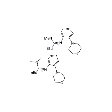 CCCC/C(=N/c1ccccc1N1CCOCC1)N(C)C.CN/C(=N\c1ccccc1N1CCOCC1)C(C)(C)C